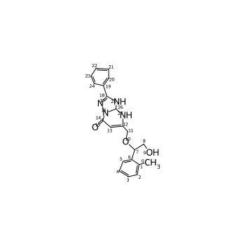 Cc1ccccc1C(CO)OCC1=CC(=O)N2N=C(c3ccccc3)NC2N1